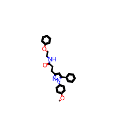 COc1ccc(-n2nc(CCC(=O)NCCOc3ccccc3)cc2-c2ccccc2)cc1